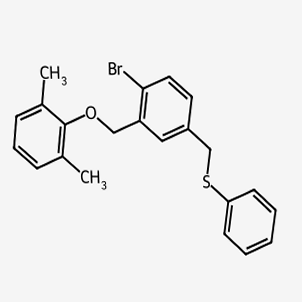 Cc1cccc(C)c1OCc1cc(CSc2ccccc2)ccc1Br